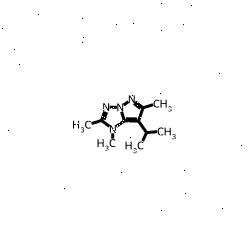 Cc1nn2nc(C)n(C)c2c1C(C)C